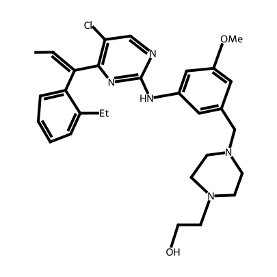 C/C=C(\c1ccccc1CC)c1nc(Nc2cc(CN3CCN(CCO)CC3)cc(OC)c2)ncc1Cl